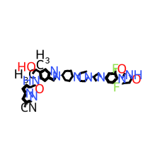 CC(C)(O)c1cc2nn([C@H]3CC[C@H](N4CCN(C5CN(c6cc(F)c(N7CCC(=O)NC7=O)c(F)c6)C5)CC4)CC3)cc2cc1NC(=O)c1ccc2cc(C#N)cnn12